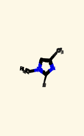 CCc1nc(C(F)(F)F)cn1C